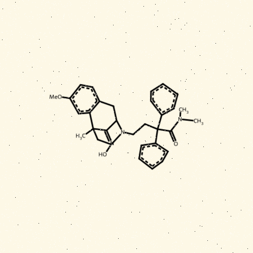 COc1ccc2c(c1)C1(C)CCN(CCC(C(=O)N(C)C)(c3ccccc3)c3ccccc3)C(C2)C1=NO